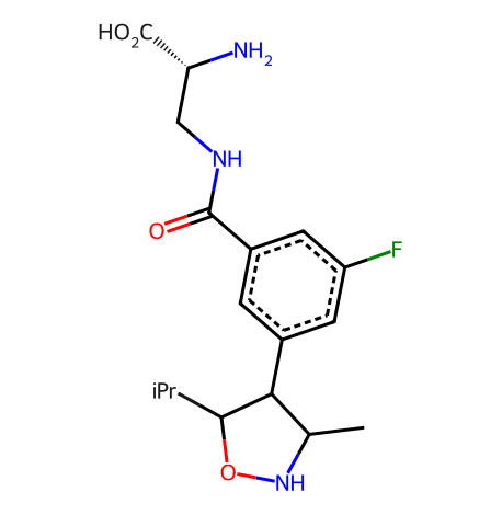 CC(C)C1ONC(C)C1c1cc(F)cc(C(=O)NC[C@@H](N)C(=O)O)c1